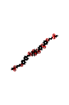 C=CC(=O)OCCCCOc1ccc(C(=O)Oc2ccc(C(=O)O[C@@H]3CO[C@H]4[C@@H]3OC[C@@H]4OC(=O)/C=C/c3ccc(-c4ccc(OCCCCOC(=O)C=C)cc4)cc3)cc2)cc1